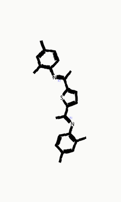 C/C(=N\c1ccc(C)cc1C)c1ccc(/C(C)=N/c2ccc(C)cc2C)s1